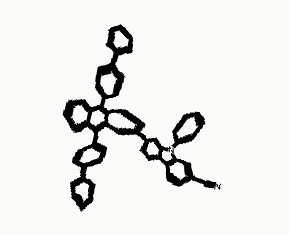 N#Cc1ccc2c3ccc(-c4ccc5c(-c6ccc(-c7ccccc7)cc6)c6ccccc6c(-c6ccc(-c7ccccc7)cc6)c5c4)cc3n(-c3ccccc3)c2c1